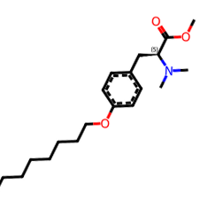 CCCCCCCCOc1ccc(C[C@@H](C(=O)OC)N(C)C)cc1